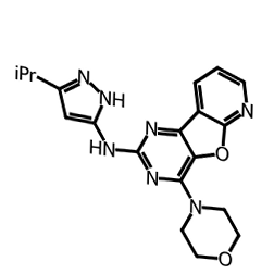 CC(C)c1cc(Nc2nc(N3CCOCC3)c3oc4ncccc4c3n2)[nH]n1